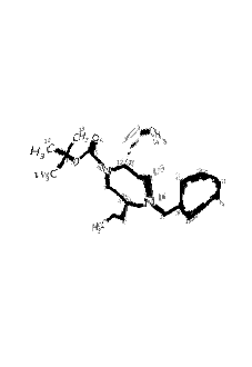 CC[C@H]1CN(C(=O)OC(C)(C)C)[C@H](CC)CN1Cc1ccccc1